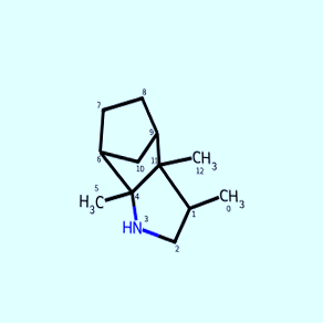 CC1CNC2(C)C3CCC(C3)C12C